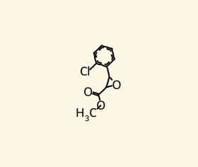 COC(=O)C1OC1c1ccccc1Cl